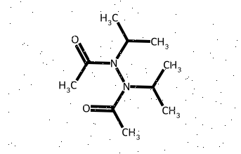 CC(=O)N(C(C)C)N(C(C)=O)C(C)C